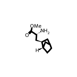 COC(=O)[C@H](N)C[C@H]1CC2CC[C@H]1C2